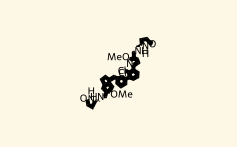 COc1cc2c(cc1CNC[C@@H]1CCC(=O)N1)CC/C2=C/c1cccc(-c2cccc(-c3ccc(CNC[C@H]4CCC(=O)N4)c(OC)n3)c2Cl)c1Cl